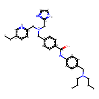 CCCN(CCC)Cc1ccc(NC(=O)c2ccc(CN(Cc3ccc(CC)cn3)Cc3ncc[nH]3)cc2)cc1